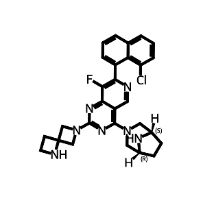 Fc1c(-c2cccc3cccc(Cl)c23)ncc2c(N3C[C@H]4CC[C@@H](C3)N4)nc(N3CC4(CCN4)C3)nc12